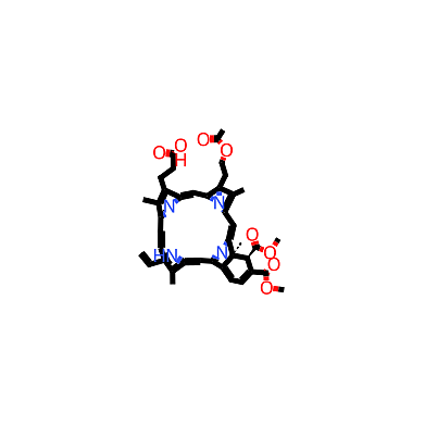 C=Cc1c(C)/c2[nH]/c1=C\C1=NC(=C\C3N4C(=C(C)C34CCOC(C)=O)/C=C3N=C(/C=2)C2=CC=C(C(=O)OC)[C@H](C(=O)OC)[C@@]2\3C)/C(CCC(=O)O)=C1C